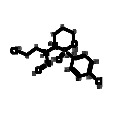 O=NN(CCCl)N1CCCOP1(=O)c1ccc(Cl)cc1